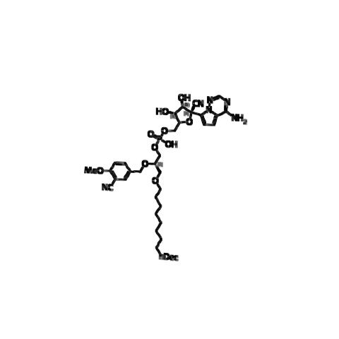 CCCCCCCCCCCCCCCCCCOC[C@H](COP(=O)(O)OCC1O[C@@](C#N)(c2ccc3c(N)ncnn23)[C@H](O)[C@@H]1O)OCc1ccc(OC)c(C#N)c1